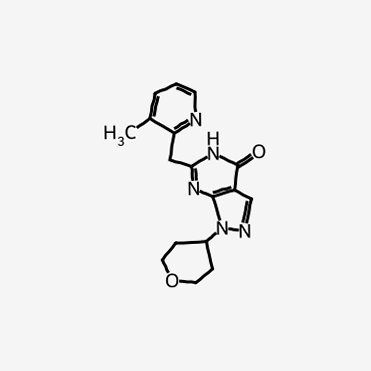 Cc1cccnc1Cc1nc2c(cnn2C2CCOCC2)c(=O)[nH]1